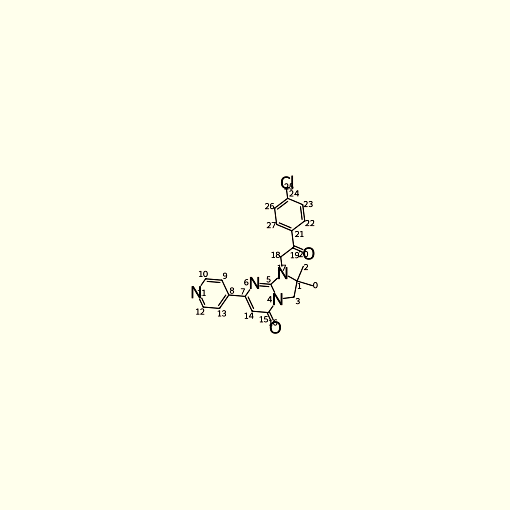 CC1(C)Cn2c(nc(-c3ccncc3)cc2=O)N1CC(=O)c1ccc(Cl)cc1